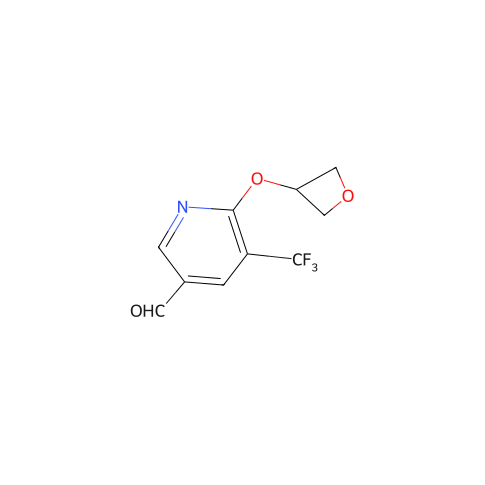 O=Cc1cnc(OC2COC2)c(C(F)(F)F)c1